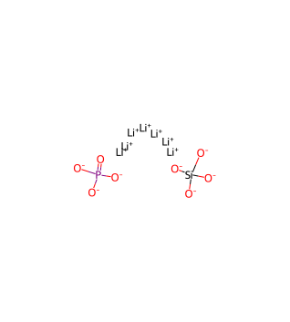 O=P([O-])([O-])[O-].[Li+].[Li+].[Li+].[Li+].[Li+].[Li+].[Li+].[O-][Si]([O-])([O-])[O-]